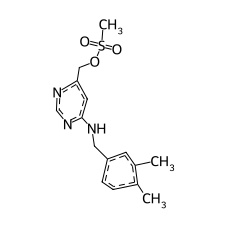 Cc1ccc(CNc2cc(COS(C)(=O)=O)ncn2)cc1C